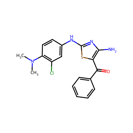 CN(C)c1ccc(Nc2nc(N)c(C(=O)c3ccccc3)s2)cc1Cl